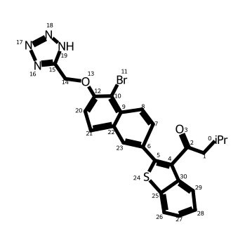 CC(C)CC(=O)c1c(-c2ccc3c(Br)c(OCc4nnn[nH]4)ccc3c2)sc2ccccc12